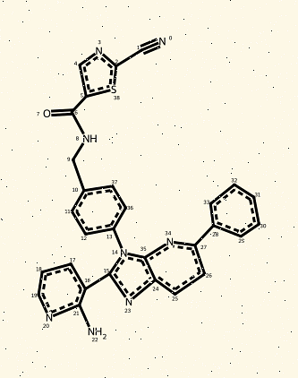 N#Cc1ncc(C(=O)NCc2ccc(-n3c(-c4cccnc4N)nc4ccc(-c5ccccc5)nc43)cc2)s1